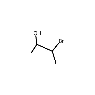 CC(O)C(Br)I